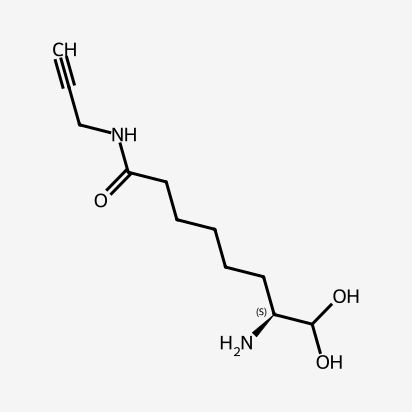 C#CCNC(=O)CCCCC[C@H](N)C(O)O